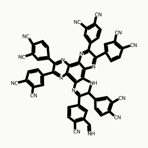 N#Cc1ccc(-c2nc3c4c(c5nc(-c6ccc(C#N)c(C#N)c6)c(-c6ccc(C#N)c(C#N)c6)nc5c3nc2-c2ccc(C#N)c(C#N)c2)NC(c2ccc(C#N)c(C#N)c2)C(c2ccc(C#N)c(C=N)c2)=N4)cc1C#N